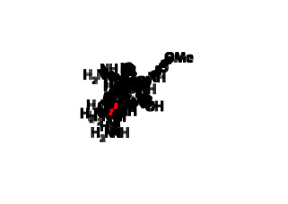 COCCOCCCNCCC(=O)N[C@@H](Cc1ccc(O)cc1)C(=O)N[C@@H](Cc1ccccc1)C(=O)N[C@@H](CCCNC(=N)N)C(=O)N[C@@H](Cc1ccccc1)C(=O)N[C@@H](CCCNC(=N)N)C(=O)N1CCC[C@H]1C(=O)N[C@@H](CCCNC(=N)N)C(=O)N[C@@H](CC(N)=O)C(N)=O